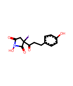 O=C1CC(I)(C(=O)CCc2ccc(O)cc2)C(=O)N1O